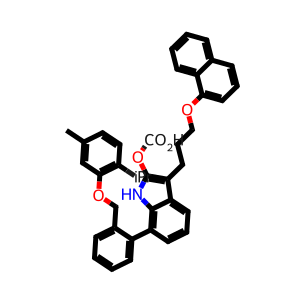 Cc1ccc(C(C)C)c(OCc2ccccc2-c2cccc3c(CCCOc4cccc5ccccc45)c(OC(=O)O)[nH]c23)c1